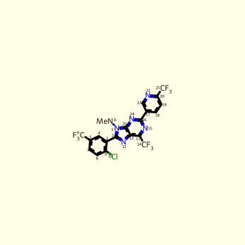 CNn1c(-c2cc(C(F)(F)F)ccc2Cl)nc2c(C(F)(F)F)nc(-c3ccc(C(F)(F)F)nc3)nc21